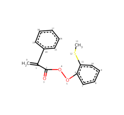 C=C(C(=O)OOc1ccccc1SC)c1ccccc1